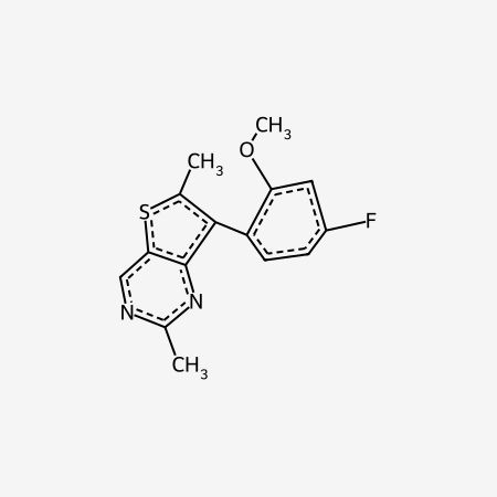 COc1cc(F)ccc1-c1c(C)sc2cnc(C)nc12